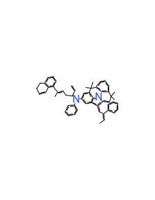 C=CC(C/C=C(\C)c1cccc2c1C=CCC2)N(c1ccccc1)c1cc2c3c(c1)/c(=C/C(=C\C)c1ccccc1)c1n3-c3c(cccc3C2(C)C)C(C)(C)C=1